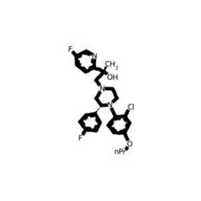 CCCOc1ccc(N2CCN(C[C@@](C)(O)c3ccc(F)cn3)C[C@H]2c2ccc(F)cc2)c(Cl)c1